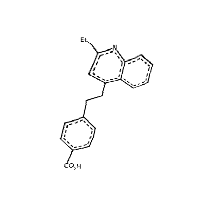 CCc1cc(CCc2ccc(C(=O)O)cc2)c2ccccc2n1